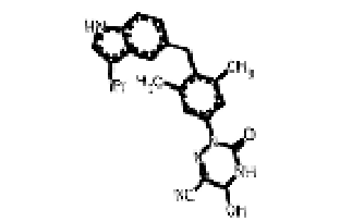 Cc1cc(N2N=C(C#N)C(O)NC2=O)cc(C)c1Cc1ccc2[nH]cc(C(C)C)c2c1